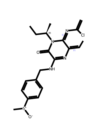 C=C(Cl)/N=C1\C(=C/C)N=C(NCc2ccc([S+](C)[O-])cc2)C(=O)N1[C@H](C)CC